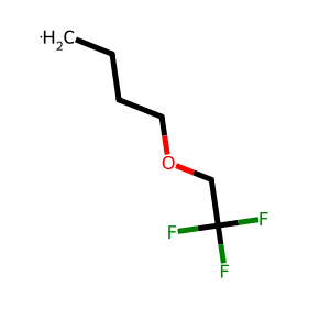 [CH2]CCCOCC(F)(F)F